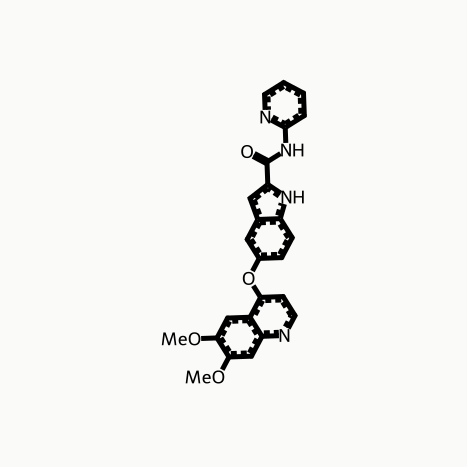 COc1cc2nccc(Oc3ccc4[nH]c(C(=O)Nc5ccccn5)cc4c3)c2cc1OC